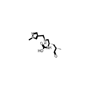 C[C@H](C=O)C[C@@H](CNCc1cnn(C)c1)NC(=O)O